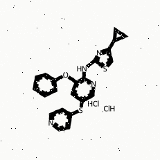 Cl.Cl.c1ccc(Oc2cc(Sc3ccncc3)cnc2Nc2nc(C3CC3)cs2)cc1